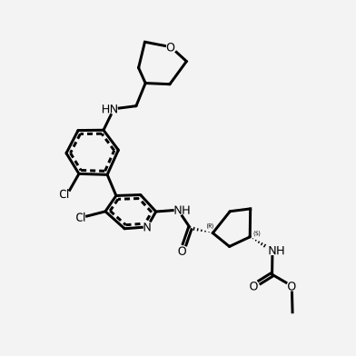 COC(=O)N[C@H]1CC[C@@H](C(=O)Nc2cc(-c3cc(NCC4CCOCC4)ccc3Cl)c(Cl)cn2)C1